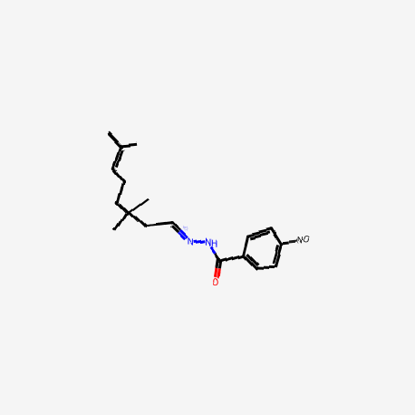 CC(C)=CCCC(C)(C)C/C=N/NC(=O)c1ccc(N=O)cc1